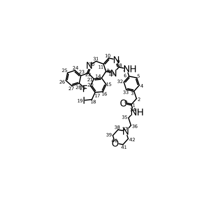 O=C(Cc1ccc(Nc2ncc3c(n2)-c2ccc(CI)cc2C(c2ccccc2F)=NC3)cc1)NCCN1CCOCC1